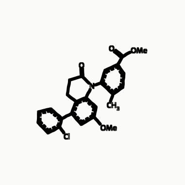 COC(=O)c1ccc(C)c(N2C(=O)CCc3c(-c4ccccc4Cl)cc(OC)cc32)c1